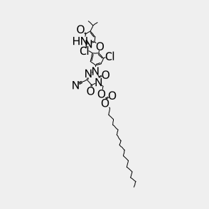 CCCCCCCCCCCCCCCCOC(=O)OCn1c(=O)c(C#N)nn(-c2cc(Cl)c(Oc3cc(C(C)C)c(=O)[nH]n3)c(Cl)c2)c1=O